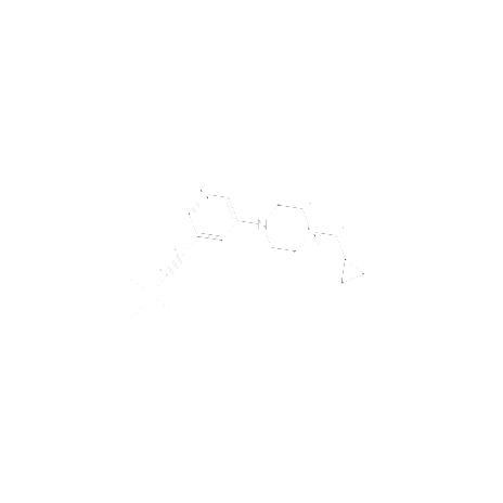 C[Si](C)(C)C#Cc1cncc(N2CCN(CC3CC3)CC2)c1